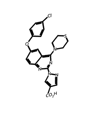 O=C(O)c1cnn(-c2nc(N3CCSCC3)c3cc(Oc4ccc(Cl)cc4)ccc3n2)c1